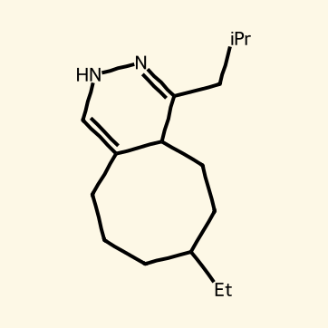 CCC1CCCC2=CNN=C(CC(C)C)C2CC1